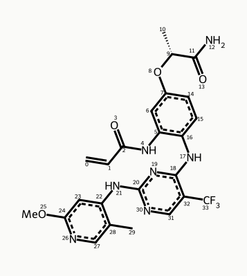 C=CC(=O)Nc1cc(O[C@H](C)C(N)=O)ccc1Nc1nc(Nc2cc(OC)ncc2C)ncc1C(F)(F)F